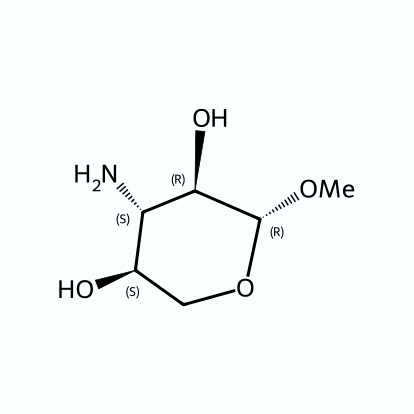 CO[C@@H]1OC[C@@H](O)[C@H](N)[C@H]1O